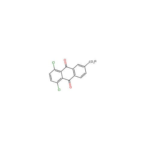 O=C(O)c1ccc2c(c1)C(=O)c1c(Cl)ccc(Cl)c1C2=O